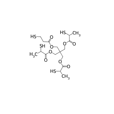 CC(S)C(=O)OCC(COC(=O)CCS)(COC(=O)C(C)S)COC(=O)C(C)S